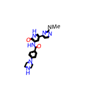 CNc1nccc(-c2c[nH]c(=O)c(NC(=O)c3ccc(N4CCNCC4)cc3)c2)n1